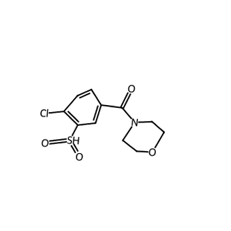 O=C(c1ccc(Cl)c([SH](=O)=O)c1)N1CCOCC1